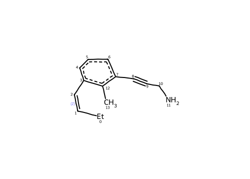 CC/C=C\c1cccc(C#CCN)c1C